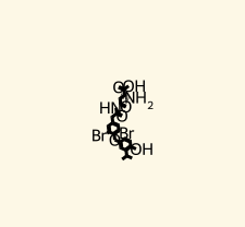 CC(C)c1cc(Oc2c(Br)cc(CC(=O)NC(=O)C[C@@H](N)C(=O)O)cc2Br)ccc1O